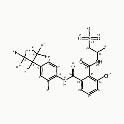 Cc1cc(C(F)(C(F)(F)F)C(F)(F)F)ccc1NC(=O)c1cccc(Cl)c1C(=O)NC(C)CS(C)(=O)=O